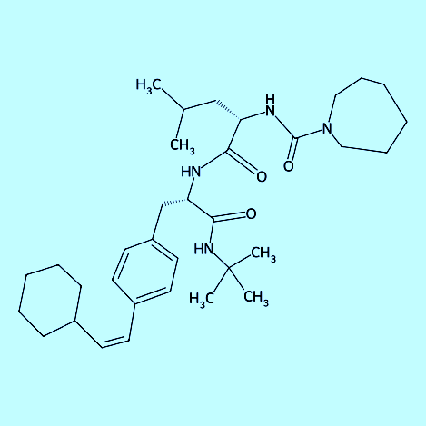 CC(C)C[C@H](NC(=O)N1CCCCCC1)C(=O)N[C@@H](Cc1ccc(/C=C\C2CCCCC2)cc1)C(=O)NC(C)(C)C